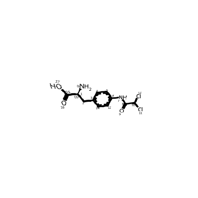 N[C@@H](Cc1ccc(NC(=O)C(Cl)Cl)cc1)C(=O)O